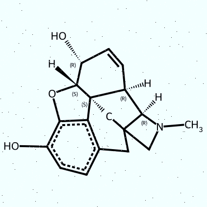 CN1CC23Cc4ccc(O)c5c4[C@@]4(C2)[C@H](O5)[C@H](O)C=C[C@H]4[C@@H]13